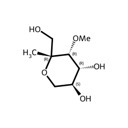 CO[C@@H]1[C@H](O)[C@@H](O)CO[C@]1(C)CO